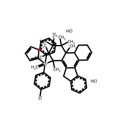 Cl.Cl.[CH2]=[Zr]([C]1=CC=CC1)([c]1ccccc1)([c]1ccc(Cl)cc1)[C]1(C)C2=C3Cc4ccccc4C3=C3C=CCCC3C2(C)C(C)(C)C(C)(C)C1(C)C